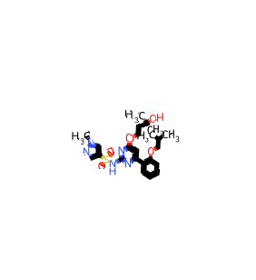 CC(C)COc1ccccc1-c1cc(OCCC(C)(C)O)nc(NS(=O)(=O)c2cnn(C)c2)n1